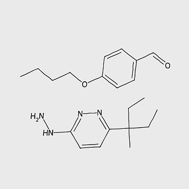 CCC(C)(CC)c1ccc(NN)nn1.CCCCOc1ccc(C=O)cc1